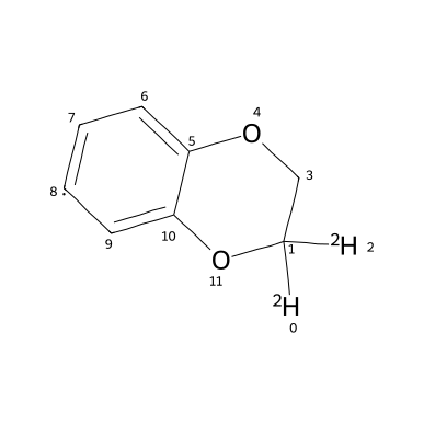 [2H]C1([2H])COc2cc[c]cc2O1